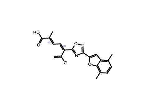 C=C(Cl)/C(=C\C=C(/C)C(=O)O)c1nc(-c2cc3c(C)ccc(C)c3o2)no1